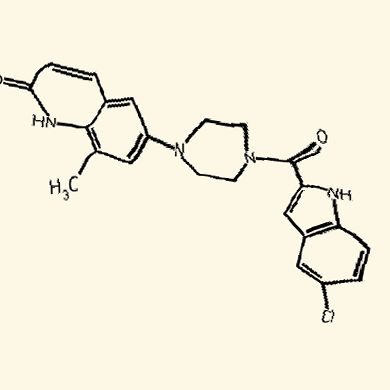 Cc1cc(N2CCN(C(=O)c3cc4cc(Cl)ccc4[nH]3)CC2)cc2ccc(=O)[nH]c12